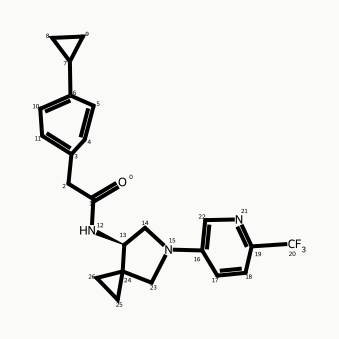 O=C(Cc1ccc(C2CC2)cc1)N[C@H]1CN(c2ccc(C(F)(F)F)nc2)CC12CC2